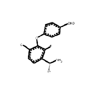 CC[C@@H](N)c1ccc(Cl)c(Oc2ccc(C=O)cc2)c1F